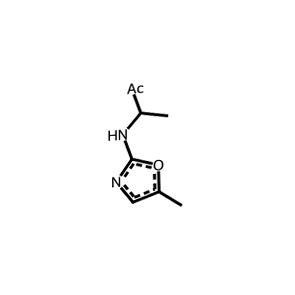 CC(=O)C(C)Nc1ncc(C)o1